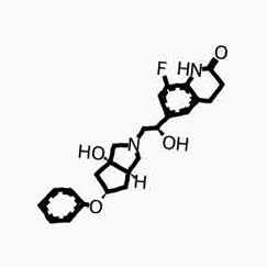 O=C1CCc2cc([C@@H](O)CN3C[C@H]4C[C@H](Oc5ccccc5)C[C@@]4(O)C3)cc(F)c2N1